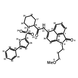 COCCCN1C(=O)c2cccc3c(NC(=O)C4CCCCN4S(=O)(=O)c4ccc(-c5ccccc5)s4)ccc1c23